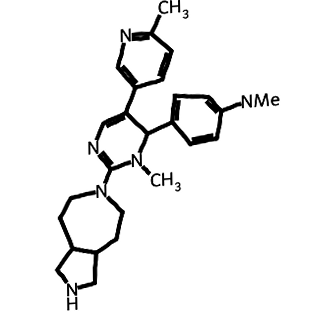 CNc1ccc(C2C(c3ccc(C)nc3)=CN=C(N3CCC4CNCC4CC3)N2C)cc1